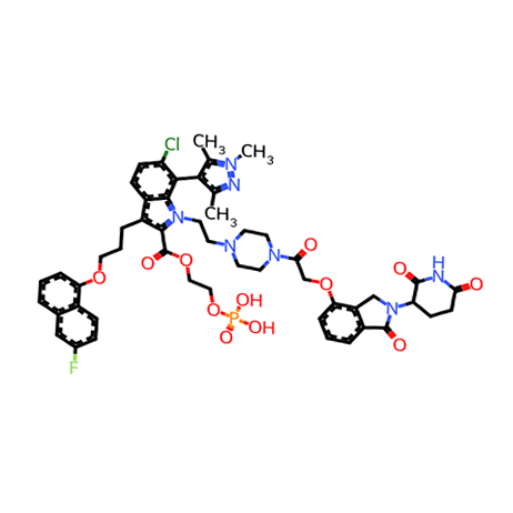 Cc1nn(C)c(C)c1-c1c(Cl)ccc2c(CCCOc3cccc4cc(F)ccc34)c(C(=O)OCCOP(=O)(O)O)n(CCN3CCN(C(=O)COc4cccc5c4CN(C4CCC(=O)NC4=O)C5=O)CC3)c12